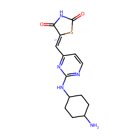 NC1CCC(Nc2nccc(/C=C3\SC(=O)NC3=O)n2)CC1